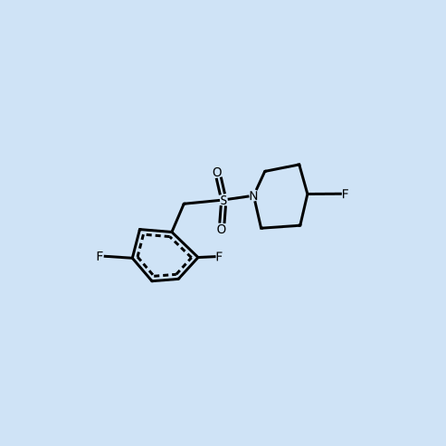 O=S(=O)(Cc1cc(F)ccc1F)N1CCC(F)CC1